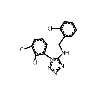 Clc1ccccc1CNc1nnnn1-c1cccc(Cl)c1Cl